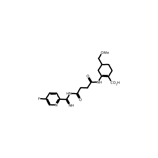 COCC1CCC(C(=O)O)=C(NC(=O)CCC(=O)NC(=N)c2ccc(F)cn2)C1